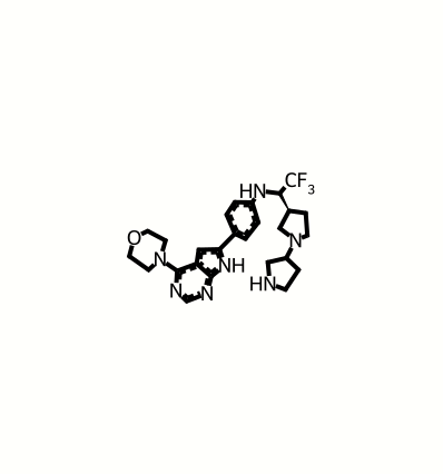 FC(F)(F)C(Nc1ccc(-c2cc3c(N4CCOCC4)ncnc3[nH]2)cc1)[C@H]1CCN(C2CCNC2)C1